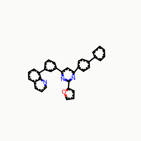 c1ccc(-c2ccc(-c3cc(-c4cccc(-c5cccc6cccnc56)c4)nc(-c4ccco4)n3)cc2)cc1